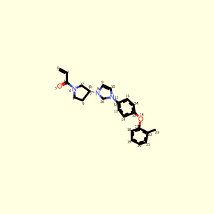 C=CC(=O)N1CC[C@@H](N2C=CN(c3ccc(Oc4ccccc4C)cc3)C2)C1